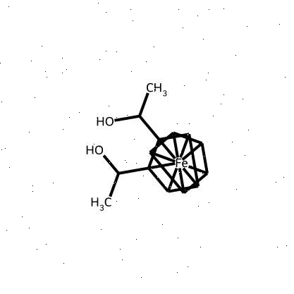 CC(O)[C]12[CH]3[CH]4[CH]5[C]1(C(C)O)[Fe]43521678[CH]2[CH]1[CH]6[CH]7[CH]28